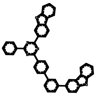 c1ccc(-c2nc(-c3ccc(-c4cccc(-c5ccc6oc7ccccc7c6c5)c4)cc3)nc(-c3ccc4c(c3)oc3ccccc34)n2)cc1